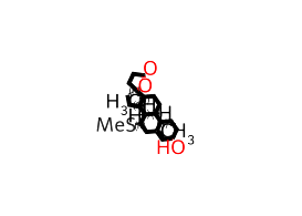 CS[C@@H]1CC2=CC(O)CC[C@]2(C)[C@H]2CC[C@@]3(C)[C@@H](CC[C@@]34CCC(=O)O4)[C@H]12